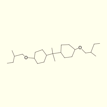 CCC(C)COC1CCC(C(C)(C)C2CCC(OCC(C)CC)CC2)CC1